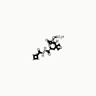 O=C(NNC(=O)[C@@H]1CC2(COC2)[C@@H]2CN1C(=O)N2OS(=O)(=O)O)C1CCC1